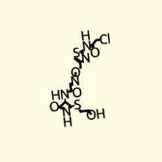 O=C(C=NOCc1csc(NC(=O)CCl)n1)N[C@@H]1C(=O)N[C@@H]1SCCO